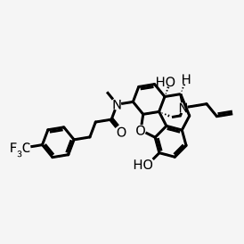 C=CCN1CC[C@]23c4c5ccc(O)c4OC2C(N(C)C(=O)CCc2ccc(C(F)(F)F)cc2)C=C[C@@]3(O)[C@H]1C5